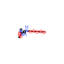 COCCOCCOCCOCCOCCNc1ccc(C(NC(=O)OC(C)(C)C)C(=O)N2CCCC2)cc1